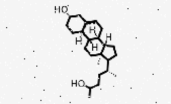 CC(O)CC[C@@H](C)C1CC[C@H]2[C@@H]3CC=C4C[C@@H](O)CC[C@@H]4[C@H]3CC[C@]12C